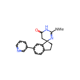 CNC1=N[C@@]2(CCc3ccc(-c4cccnc4)cc32)CC(=O)N1